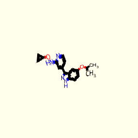 CC(C)Oc1ccc2[nH]nc(-c3ccnc(NOC4CC4)c3)c2c1